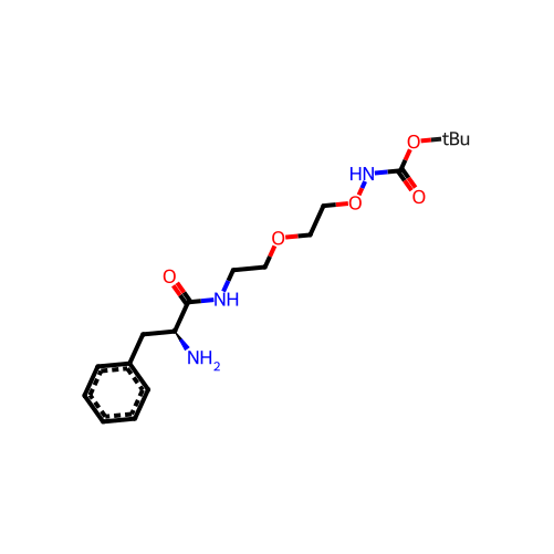 CC(C)(C)OC(=O)NOCCOCCNC(=O)[C@@H](N)Cc1ccccc1